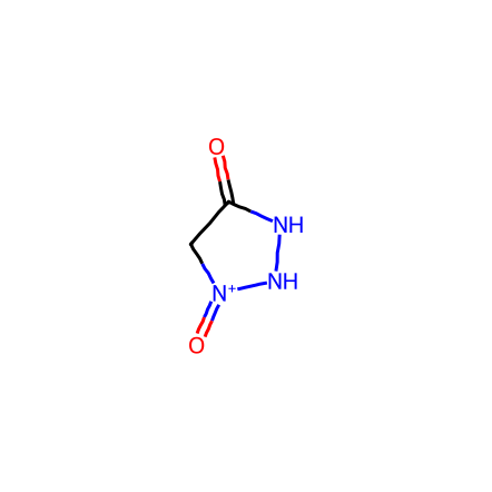 O=C1C[N+](=O)NN1